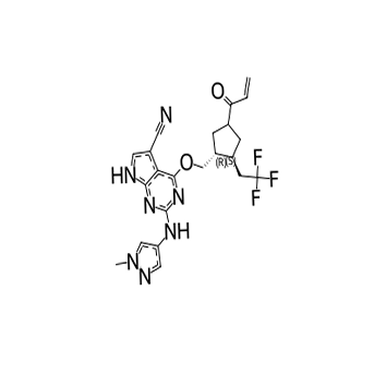 C=CC(=O)C1C[C@@H](COc2nc(Nc3cnn(C)c3)nc3[nH]cc(C#N)c23)[C@H](CC(F)(F)F)C1